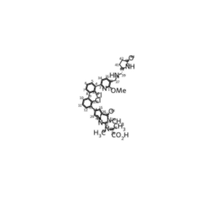 COc1nc(-c2cccc(-c3cccc(-c4cc5c(=O)n(C)c(N(C)[C@H](C)C(=O)O)nn5c4)c3Cl)c2Cl)ccc1CNC[C@@H]1CCC(=O)N1